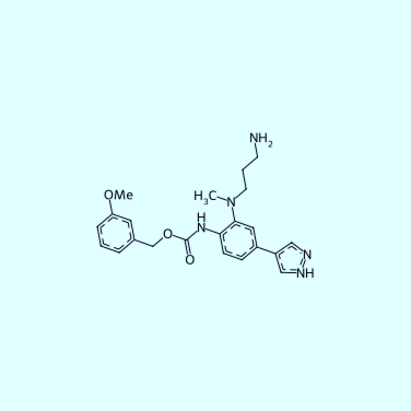 COc1cccc(COC(=O)Nc2ccc(-c3cn[nH]c3)cc2N(C)CCCN)c1